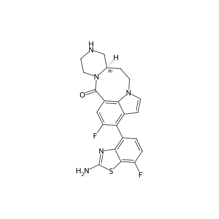 Nc1nc2c(-c3c(F)cc4c5c3ccn5CC[C@@H]3CNCCN3C4=O)ccc(F)c2s1